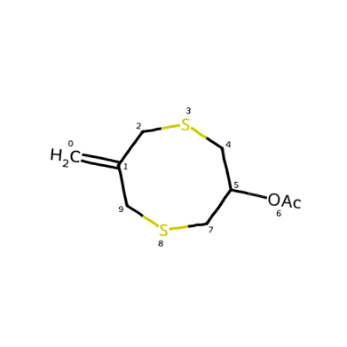 C=C1CSCC(OC(C)=O)CSC1